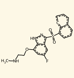 CNCCOc1cc(F)cc2c(S(=O)(=O)c3cccc4ccccc34)n[nH]c12